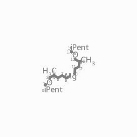 CCCC(C)COCC(C)CC[CH2][Mg][CH2]CCC(C)COCC(C)CCC